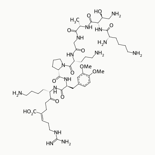 COc1ccc(C[C@H](NC(=O)[C@@H]2CCCN2C(=O)[C@@H](CCCN)NC(=O)CNC(=O)[C@H](C)NC(=O)[C@@H](NC(=O)[C@@H](N)CCCCN)[C@@H](O)CN)C(=O)N[C@@H](CCCCN)C(=O)CC/C(=C\CCNC(=N)N)C(=O)O)cc1OC